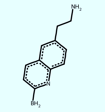 Bc1ccc2cc(CCN)ccc2n1